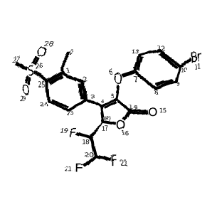 Cc1cc(C2=C(Oc3ccc(Br)cc3)C(=O)O[C@H]2C(F)C(F)F)ccc1S(C)(=O)=O